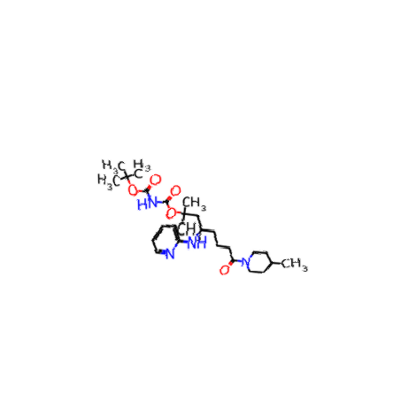 CC1CCN(C(=O)CCCC(CC(C)(C)OC(=O)NC(=O)OC(C)(C)C)Nc2ccccn2)CC1